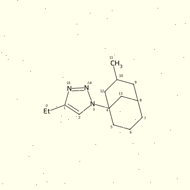 CCc1cn(C23CCCC(CC(C)C2)C3)nn1